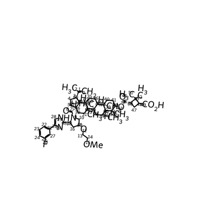 C=C(C)[C@@H]1CC[C@]2(C(=O)N3C[C@H](OCCOC)C[C@H]3c3nc(-c4cccc(F)c4)c[nH]3)CC[C@]3(C)[C@H](CC[C@@H]4[C@@]5(C)CC[C@H](OC(=O)[C@H]6CC(C(=O)O)C6(C)C)C(C)(C)[C@@H]5CC[C@]43C)[C@@H]12